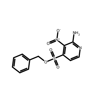 Nc1nccc(S(=O)(=O)OCc2ccccc2)c1[N+](=O)[O-]